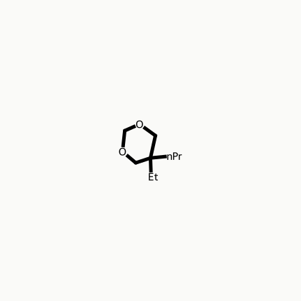 CCCC1(CC)COCOC1